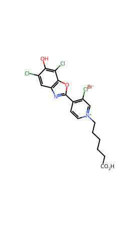 O=C(O)CCCCC[n+]1ccc(-c2nc3cc(Cl)c(O)c(Cl)c3o2)c(Cl)c1.[Br-]